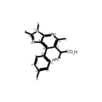 CCCC(C(=O)O)c1c(C)nc2c(nc(C)n2C)c1-c1ccc(C)cc1